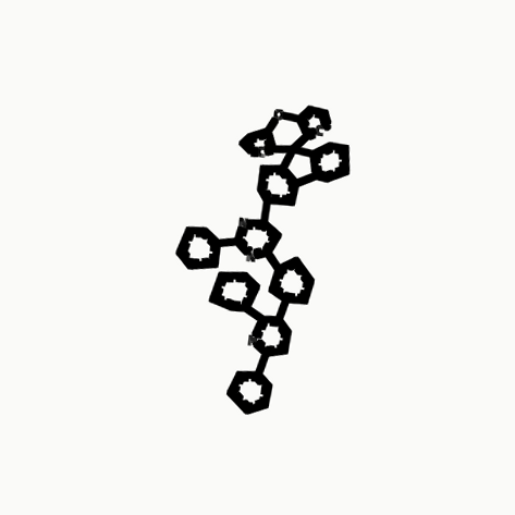 c1ccc(-c2ccc(-c3cccc(-c4cc(-c5ccc6c(c5)-c5ccccc5C65c6ccccc6Oc6ccccc65)nc(-c5ccccc5)n4)c3)c(-c3ccccc3)n2)cc1